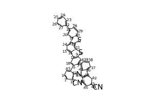 N#Cc1cccc(-c2ccc3sc4c5c(ccc4c3c2)C2C=C(c3ccccc3)C=CC2S5)c1-n1c2c(c3ccccc31)CC(C#N)C=C2